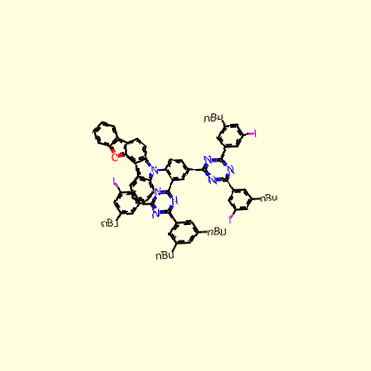 CCCCc1cc(I)cc(-c2nc(-c3cc(I)cc(CCCC)c3)nc(-c3ccc(-n4c5ccccc5c5c6oc7ccccc7c6ccc54)c(-c4nc(-c5cc(I)cc(CCCC)c5)nc(-c5cc(CCCC)cc(CCCC)c5)n4)c3)n2)c1